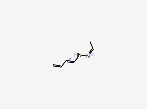 C=C/C=C/N/N=C\C